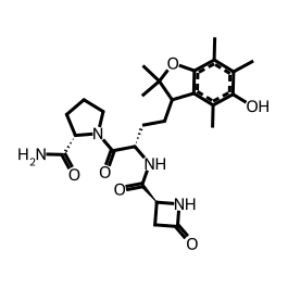 Cc1c(C)c2c(c(C)c1O)C(CC[C@H](NC(=O)[C@@H]1CC(=O)N1)C(=O)N1CCC[C@H]1C(N)=O)C(C)(C)O2